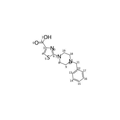 O=C(O)c1csc(N2CCN(Cc3ccccc3)CC2)n1